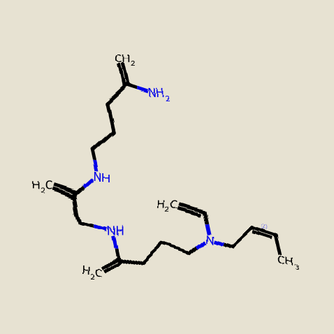 C=CN(C/C=C\C)CCCC(=C)NCC(=C)NCCCC(=C)N